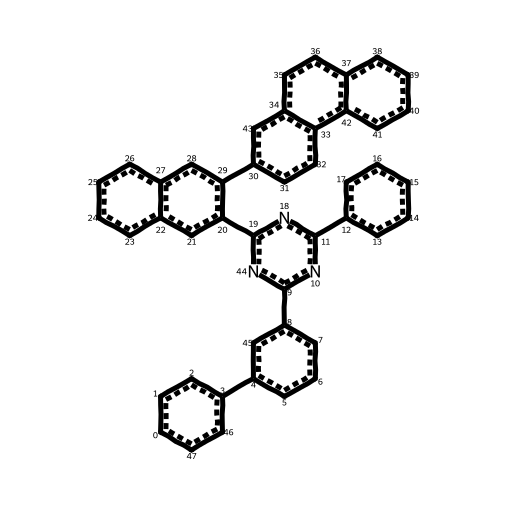 c1ccc(-c2cccc(-c3nc(-c4ccccc4)nc(-c4cc5ccccc5cc4-c4ccc5c(ccc6ccccc65)c4)n3)c2)cc1